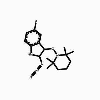 CC1(C)CCCC(C)(C)N1OC1c2cc(F)ccc2NC1N=[N+]=[N-]